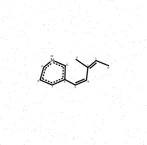 C/C=C(C)\C=C/c1cccnc1